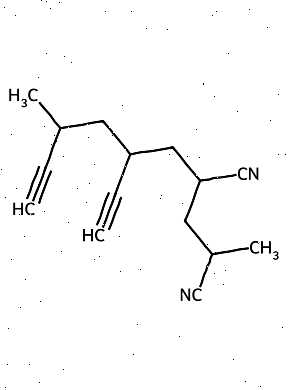 C#CC(C)CC(C#C)CC(C#N)CC(C)C#N